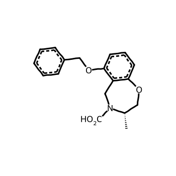 C[C@H]1COc2cccc(OCc3ccccc3)c2CN1C(=O)O